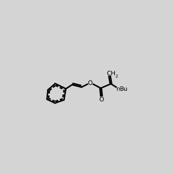 C=C(CCCC)C(=O)OC=Cc1ccccc1